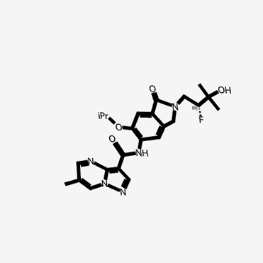 Cc1cnc2c(C(=O)Nc3cc4c(cc3OC(C)C)C(=O)N(C[C@@H](F)C(C)(C)O)C4)cnn2c1